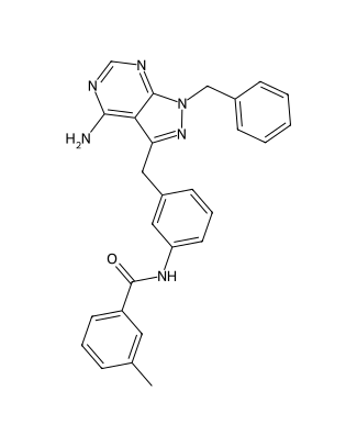 Cc1cccc(C(=O)Nc2cccc(Cc3nn(Cc4ccccc4)c4ncnc(N)c34)c2)c1